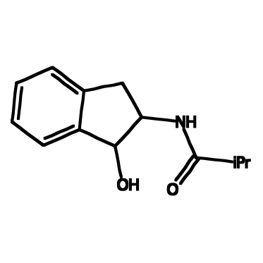 CC(C)C(=O)NC1Cc2ccccc2C1O